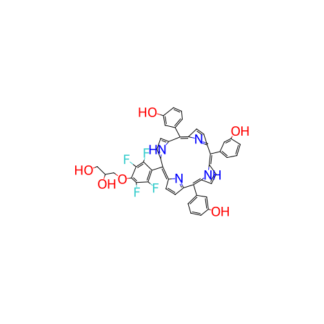 OCC(O)COc1c(F)c(F)c(-c2c3nc(c(-c4cccc(O)c4)c4ccc([nH]4)c(-c4cccc(O)c4)c4nc(c(-c5cccc(O)c5)c5ccc2[nH]5)C=C4)C=C3)c(F)c1F